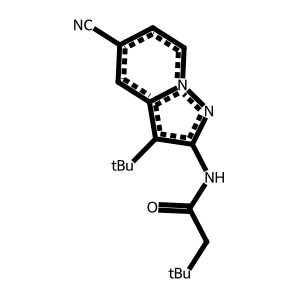 CC(C)(C)CC(=O)Nc1nn2ccc(C#N)cc2c1C(C)(C)C